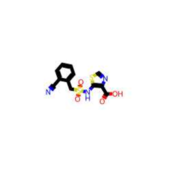 N#Cc1ccccc1CS(=O)(=O)Nc1scnc1C(=O)O